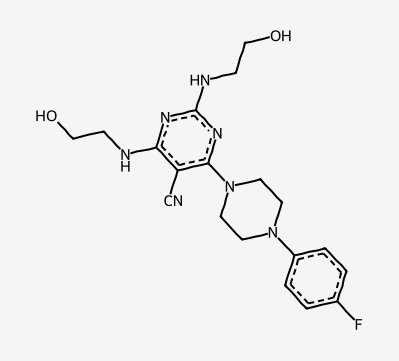 N#Cc1c(NCCO)nc(NCCO)nc1N1CCN(c2ccc(F)cc2)CC1